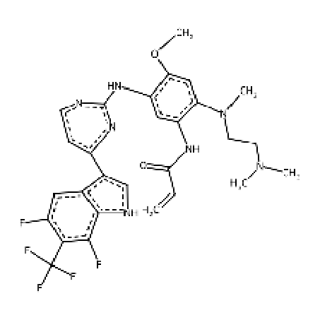 C=CC(=O)Nc1cc(Nc2nccc(-c3c[nH]c4c(F)c(C(F)(F)F)c(F)cc34)n2)c(OC)cc1N(C)CCN(C)C